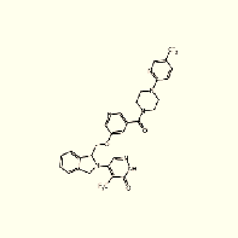 O=C(c1cncc(OCC2c3ccccc3CN2c2cn[nH]c(=O)c2C(F)(F)F)c1)N1CCN(c2ccc(C(F)(F)F)cn2)CC1